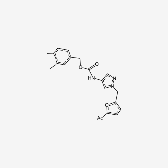 CC(=O)c1ccc(Cn2cc(NC(=O)OCc3ccc(C)c(C)c3)cn2)o1